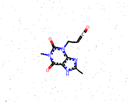 Cc1nc2c([nH]1)c(=O)n(C)c(=O)n2CC=C=O